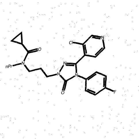 CCCN(CCCn1nc(-c2ccncc2Cl)n(-c2ccc(F)cc2)c1=O)C(=O)C1CC1